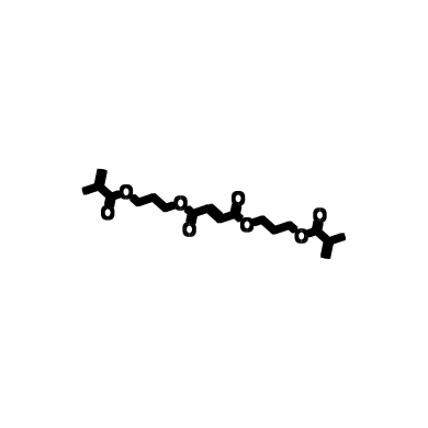 C=C(C)C(=O)OCCCOC(=O)/C=C/C(=O)OCCCOC(=O)C(=C)C